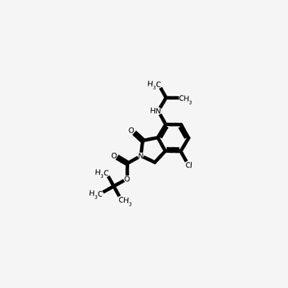 CC(C)Nc1ccc(Cl)c2c1C(=O)N(C(=O)OC(C)(C)C)C2